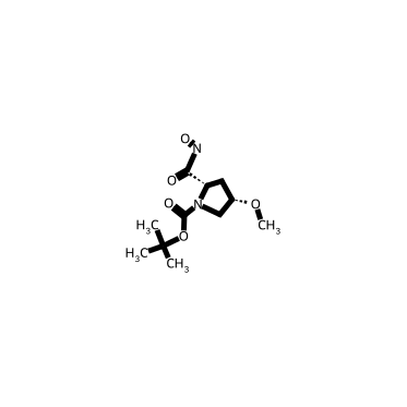 CO[C@H]1C[C@@H](C(=O)N=O)N(C(=O)OC(C)(C)C)C1